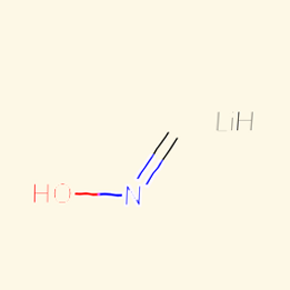 C=NO.[LiH]